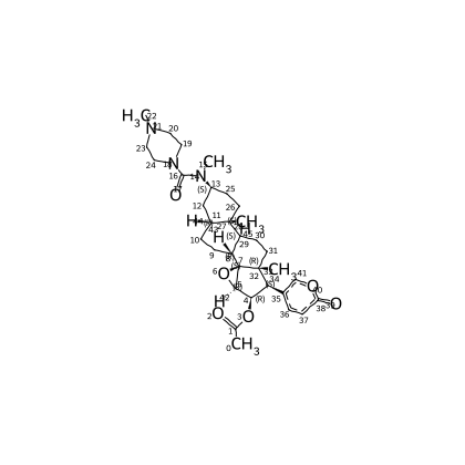 CC(=O)O[C@H]1[C@H]2O[C@]23[C@@H]2CC[C@@H]4C[C@@H](N(C)C(=O)N5CCN(C)CC5)CC[C@]4(C)[C@H]2CC[C@]3(C)[C@H]1c1ccc(=O)oc1